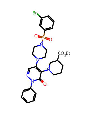 CCOC(=O)C1CCCN(c2c(N3CCN(S(=O)(=O)c4cccc(Br)c4)CC3)cnn(-c3ccccc3)c2=O)C1